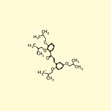 CC(C)COc1ccc(OCC(C)C)c(C=CC(=O)c2cccc(OCC(C)C)c2OCC(C)C)c1